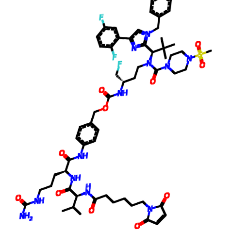 CC(C)[C@H](NC(=O)CCCCCN1C(=O)C=CC1=O)C(=O)N[C@@H](CCCNC(N)=O)C(=O)Nc1ccc(COC(=O)N[C@H](CF)CCN(C(=O)N2CCN(S(C)(=O)=O)CC2)[C@@H](c2nc(-c3cc(F)ccc3F)cn2Cc2ccccc2)C(C)(C)C)cc1